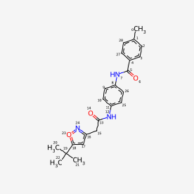 Cc1ccc(C(=O)Nc2ccc(NC(=O)Cc3cc(C(C)(C)C)on3)cc2)cc1